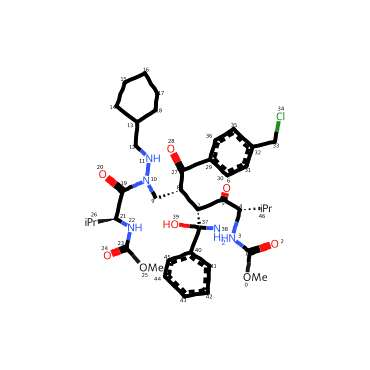 COC(=O)N[C@H](C(=O)[C@@H]([C@H](CN(NCC1CCCCC1)C(=O)[C@@H](NC(=O)OC)C(C)C)C(=O)c1ccc(CCl)cc1)C(N)(O)c1ccccc1)C(C)C